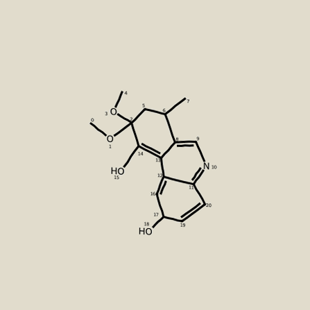 COC1(OC)CC(C)c2cnc3c(c2=C1O)=CC(O)C=C3